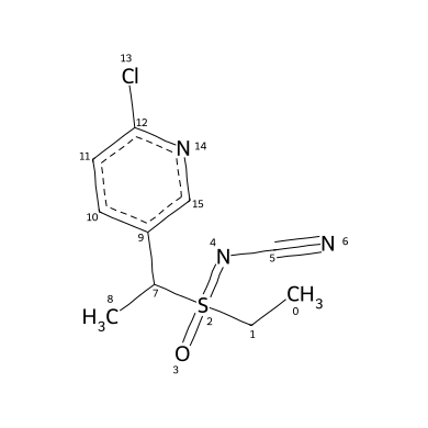 CCS(=O)(=NC#N)C(C)c1ccc(Cl)nc1